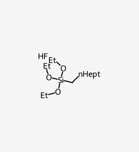 CCCCCCCC[Si](OCC)(OCC)OCC.F